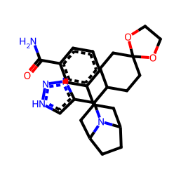 NC(=O)c1cccc(C2CC3CCC(C2)N3C(c2c[nH]nn2)C2CCC3(CC2)OCCO3)c1